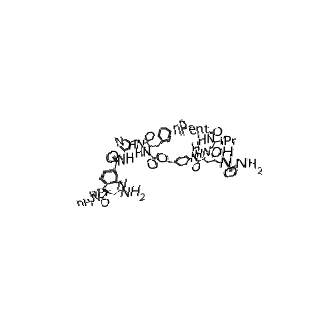 CCCCCC(=O)NC(C(=O)NC(CCCNC(N)=O)C(=O)Nc1ccc(COC(=O)NC(Cc2ccccc2)C(=O)NCc2cncc(NC(=O)c3ccc4c(c3)N=C(N)CC(C(=O)N(CCC)CCC)=C4)c2)cc1)C(C)C